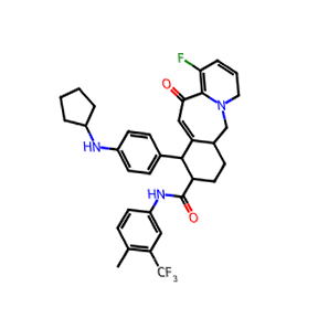 Cc1ccc(NC(=O)C2CCC3CN4CC=CC(F)=C4C(=O)C=C3C2c2ccc(NC3CCCC3)cc2)cc1C(F)(F)F